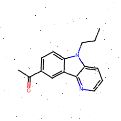 CCCn1c2ccc(C(C)=O)cc2c2ncccc21